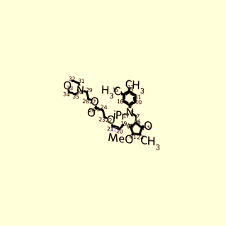 COC1C(C)C(=O)[C@H](CN(c2ccc(C)c(C)c2)C(C)C)[C@H]1C/C=C\OCCC(=O)OCCN1CCOCC1